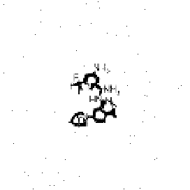 Cc1nnc(N[C@H](N)c2cc(N)cc(C(F)(F)F)n2)c2cc(N3CC4CC(C3)O4)ccc12